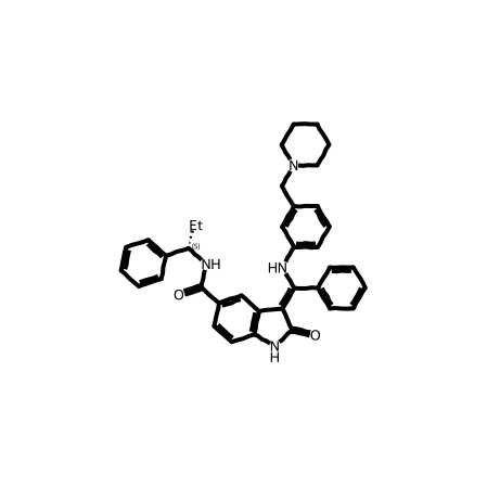 CC[C@H](NC(=O)c1ccc2c(c1)C(=C(Nc1cccc(CN3CCCCC3)c1)c1ccccc1)C(=O)N2)c1ccccc1